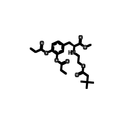 CCC(=O)Oc1ccc(C[C@H](NCCOC(=O)CC(C)(C)C)C(=O)OC)cc1OC(=O)CC